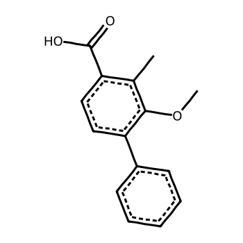 COc1c(-c2ccccc2)ccc(C(=O)O)c1C